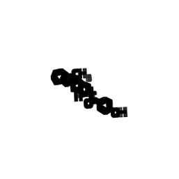 CO[C@@]1(Cc2ccccc2)CC2CN(CC(=O)c3ccc(O)cc3)C[C@H]2C1